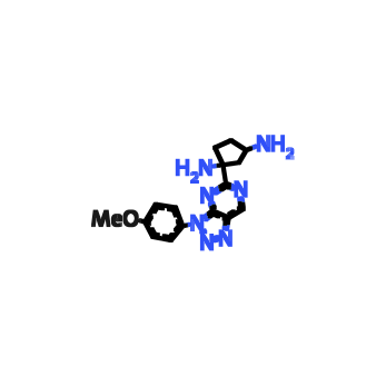 COc1ccc(-n2nnc3cnc(C4(N)CCC(N)C4)nc32)cc1